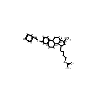 CC(C)(C)C(=O)OCCCCC1C=C(C(F)(F)F)[C@@]2(C)CCC3c4ccc(OCc5ccccc5)cc4CCC3C12